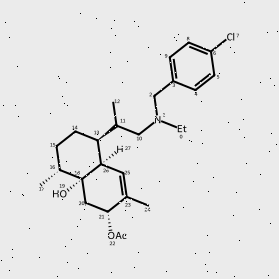 CCN(Cc1ccc(Cl)cc1)CC(C)[C@@H]1CC[C@@H](C)[C@]2(O)[CH][C@@H](OC(C)=O)C(C)=C[C@H]12